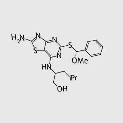 CO[C@H](Sc1nc(NC(CO)CC(C)C)c2sc(N)nc2n1)c1ccccc1